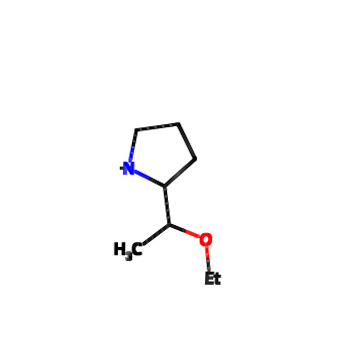 CCOC(C)C1CCC[N]1